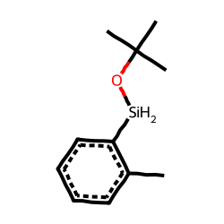 Cc1ccccc1[SiH2]OC(C)(C)C